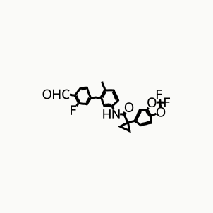 Cc1ccc(NC(=O)C2(c3ccc4c(c3)OC(F)(F)O4)CC2)cc1-c1ccc(C=O)c(F)c1